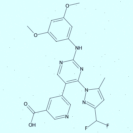 COc1cc(Nc2ncc(-c3cncc(C(=O)O)c3)c(-n3nc(C(F)F)cc3C)n2)cc(OC)c1